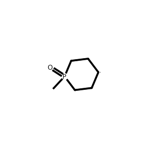 CP1(=O)CC[CH]CC1